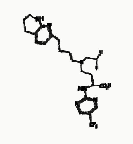 O=C(O)C(CCN(CCCCc1ccc2c(n1)NCCC2)CC(F)F)Nc1ncc(C(F)(F)F)cn1